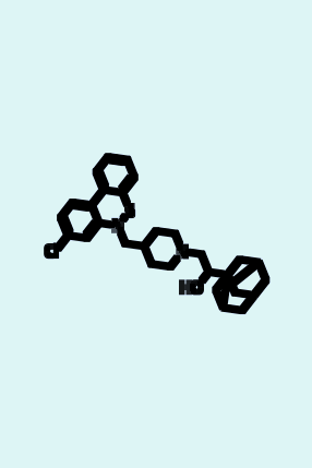 OC(CN1CCC(CN2Sc3ccccc3-c3ccc(Cl)cc32)CC1)C12CC3CC(CC(C3)C1)C2